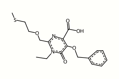 CCn1c(COCCSC)nc(C(=O)O)c(OCc2ccccc2)c1=O